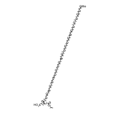 C=CCOC(=O)CCN(CCC(=O)O)C(=O)CCOCCOCCOCCOCCOCCOCCOCCOCCOCCOCCOCCOCCOCCOCCOCCOCCOCCOCCOCCOCCOCCOCCOCCOC